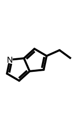 CCC1=CC2=CC=NC2=C1